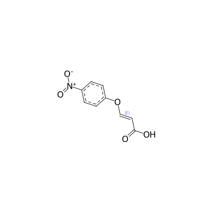 O=C(O)/C=C/Oc1ccc([N+](=O)[O-])cc1